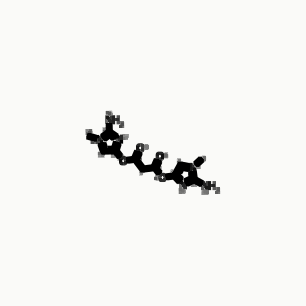 Cn1cc(OC(=O)CC(=O)Oc2cn(C)c(N)n2)nc1N